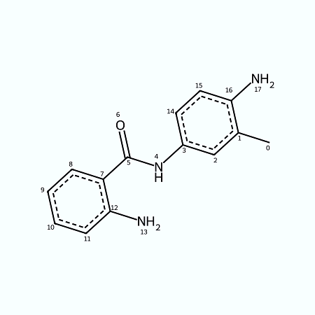 Cc1cc(NC(=O)c2ccccc2N)ccc1N